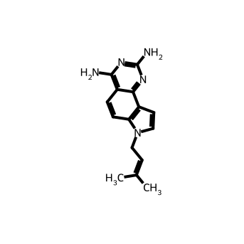 CC(C)=CCn1ccc2c3nc(N)nc(N)c3ccc21